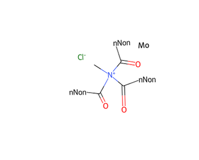 CCCCCCCCCC(=O)[N+](C)(C(=O)CCCCCCCCC)C(=O)CCCCCCCCC.[Cl-].[Mo]